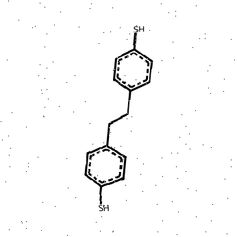 Sc1ccc(CCc2ccc(S)cc2)cc1